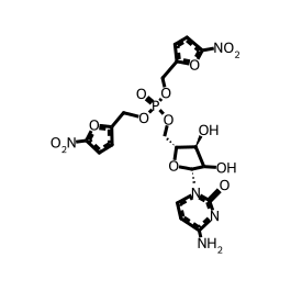 Nc1ccn([C@@H]2O[C@H](COP(=O)(OCc3ccc([N+](=O)[O-])o3)OCc3ccc([N+](=O)[O-])o3)[C@@H](O)C2O)c(=O)n1